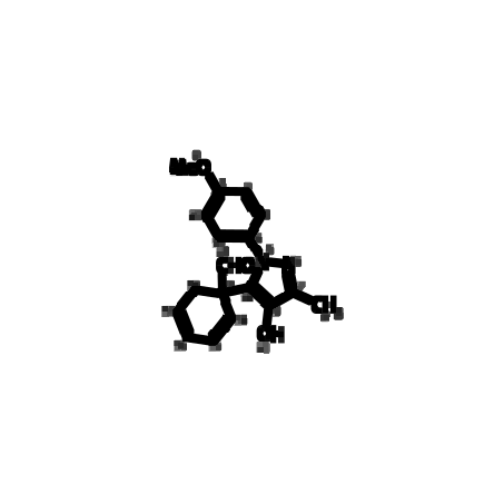 COc1ccc(-n2nc(C)c(O)c2C2(C=O)C=CC=CC2)cc1